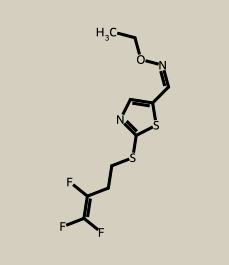 CCO/N=C\c1cnc(SCCC(F)=C(F)F)s1